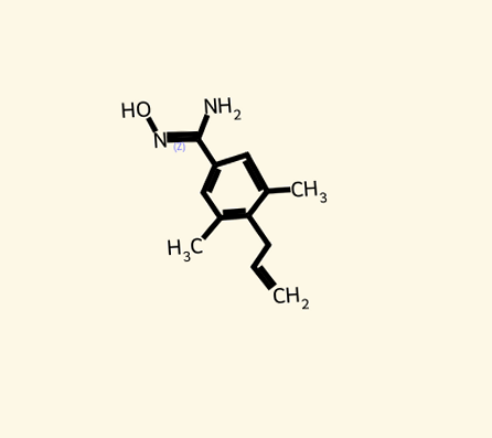 C=CCc1c(C)cc(/C(N)=N/O)cc1C